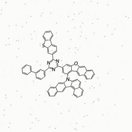 c1ccc(-c2cccc(-c3nc(-c4cc(-n5c6cc7ccccc7cc6c6c7ccccc7ccc65)c5c(c4)oc4cc6ccccc6cc45)nc(-c4ccc5c(c4)sc4ccccc45)n3)c2)cc1